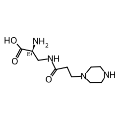 N[C@@H](CNC(=O)CCN1CCNCC1)C(=O)O